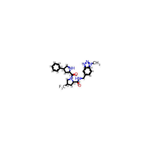 Cn1nnc2cc(CNC(=O)C3CC(C(F)(F)F)CN3C(=O)C3CC(c4ccccc4)CN3)ccc21